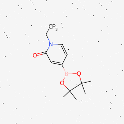 CC1(C)OB(c2ccn(CC(F)(F)F)c(=O)c2)OC1(C)C